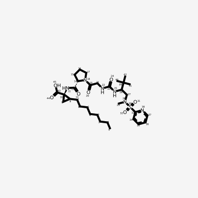 CCCCCCCCC1C[C@]1(NC(=O)[C@@H]1CCCN1C(=O)CNC(=O)NC(CN(C)S(=O)(=O)c1ccccn1)C(C)(C)C)C(=O)O